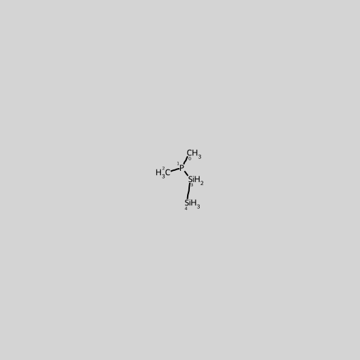 CP(C)[SiH2][SiH3]